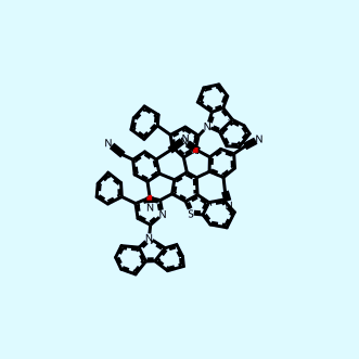 N#Cc1cc(C#N)c(-c2c(-c3cc(-c4ccccc4)cc(-n4c5ccccc5c5ccccc54)n3)c(-c3c(C#N)cc(C#N)cc3C#N)c3c(sc4ccccc43)c2-c2cc(-c3ccccc3)cc(-n3c4ccccc4c4ccccc43)n2)c(C#N)c1